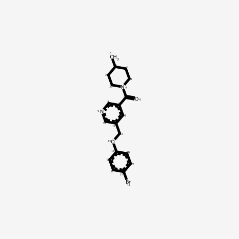 CC1CCN(C(=O)c2cncc(COc3ccc(Br)cc3)c2)CC1